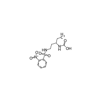 CCC(CCNS(=O)(=O)c1ccccc1[N+](=O)[O-])NC(=O)O